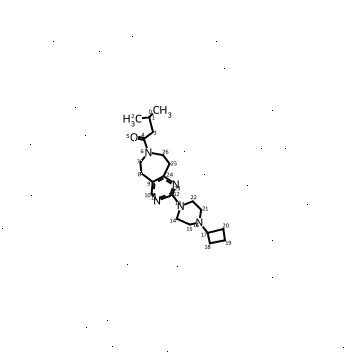 CC(C)CC(=O)N1CCc2cnc(N3CCN(C4CCC4)CC3)nc2CC1